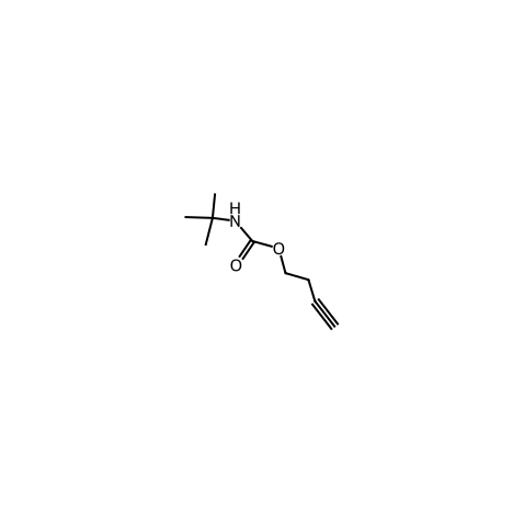 C#CCCOC(=O)NC(C)(C)C